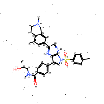 Cc1ccc(S(=O)(=O)n2cc(-c3ccc(C(=O)N(C)C[C@@H](C)O)cc3)c3nc(-c4cc(C)c5c(c4)CN(C)CC5)cnc32)cc1